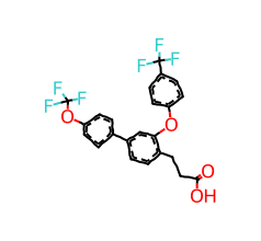 O=C(O)CCc1ccc(-c2ccc(OC(F)(F)F)cc2)cc1Oc1ccc(C(F)(F)F)cc1